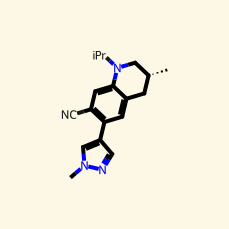 CC(C)N1C[C@H](C)Cc2cc(-c3cnn(C)c3)c(C#N)cc21